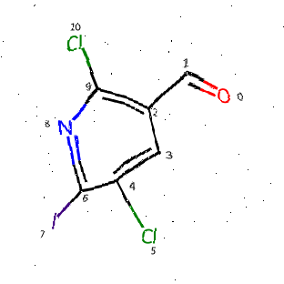 O=Cc1cc(Cl)c(I)nc1Cl